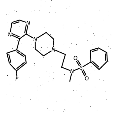 CN(CCN1CCN(c2nccnc2-c2ccc(F)cc2)CC1)S(=O)(=O)c1ccccc1